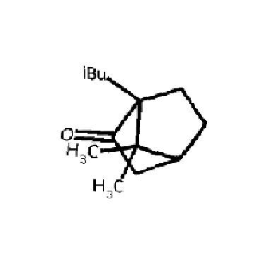 CCC(C)C12CCC(CC1=O)C2(C)C